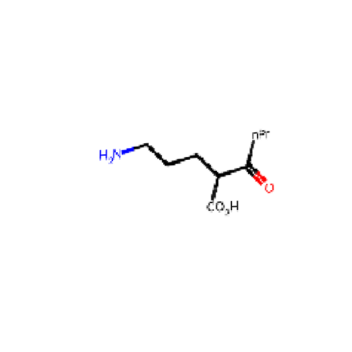 CCCC(=O)C(CCCN)C(=O)O